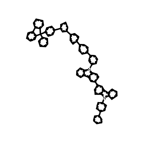 c1ccc(-c2ccc(-n3c4ccccc4c4cc(-c5ccc6c(c5)c5ccccc5n6-c5cccc(-c6ccc(-c7ccc(-c8cccc(-c9ccc(C%10(c%11ccccc%11)c%11ccccc%11-c%11ccccc%11%10)cc9)c8)cc7)cc6)c5)ccc43)cc2)cc1